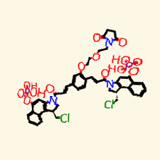 O=C1CCC(=O)N1CCOCCOc1cc(/C=C/C(=O)N2C[C@@H](CCl)c3c2cc(OP(=O)(O)O)c2ccccc32)ccc1/C=C/C(=O)N1C[C@@H](CCl)c2c1cc(OP(=O)(O)O)c1ccccc21